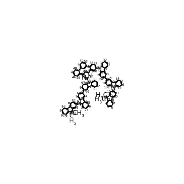 CC1(C)c2ccccc2-c2ccc(-n3c4ccccc4c4cc(-c5ccc6c(c5)c5ccccc5n6-c5cccc(-c6cc(-c7ccccc7-c7ccccc7)nc(-n7c8ccccc8c8cc(-c9ccc%10c(c9)c9ccccc9n%10-c9ccc%10c(c9)C(C)(C)c9ccccc9-%10)ccc87)n6)c5)ccc43)cc21